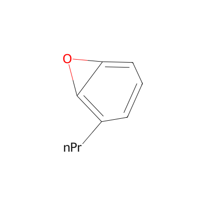 CCCc1cccc2c1O2